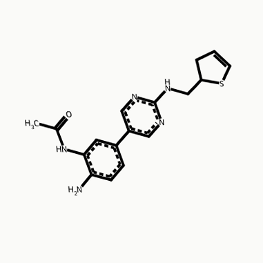 CC(=O)Nc1cc(-c2cnc(NCC3CC=CS3)nc2)ccc1N